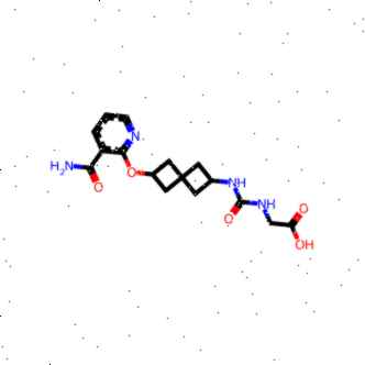 NC(=O)c1cccnc1OC1CC2(CC(NC(=O)NCC(=O)O)C2)C1